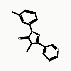 Cc1cccc(N2N=C(c3cccnc3)C(C)C2=O)c1